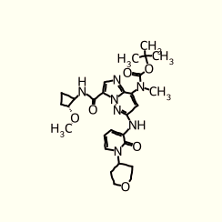 CO[C@@H]1CCC1NC(=O)c1cnc2c(N(C)C(=O)OC(C)(C)C)cc(Nc3cccn(C4CCOCC4)c3=O)nn12